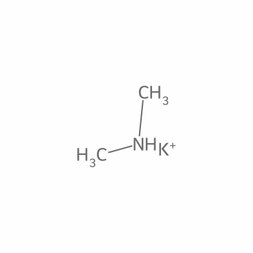 CNC.[K+]